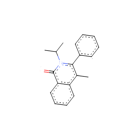 Cc1c(-c2ccccc2)n(C(C)C)c(=O)c2ccccc12